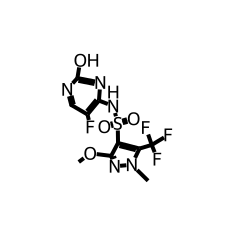 COc1nn(C)c(C(F)(F)F)c1S(=O)(=O)Nc1nc(O)ncc1F